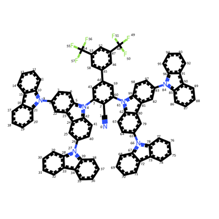 N#Cc1c(-n2c3ccc(-n4c5ccccc5c5ccccc54)cc3c3cc(-n4c5ccccc5c5ccccc54)ccc32)cc(-c2cc(C(F)(F)F)cc(C(F)(F)F)c2)cc1-n1c2ccc(-n3c4ccccc4c4ccccc43)cc2c2cc(-n3c4ccccc4c4ccccc43)ccc21